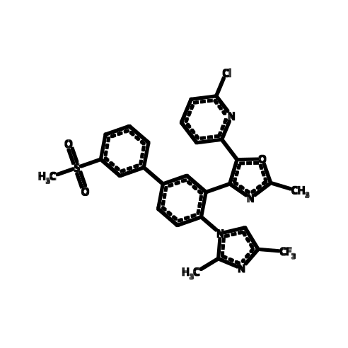 Cc1nc(-c2cc(-c3cccc(S(C)(=O)=O)c3)ccc2-n2cc(C(F)(F)F)nc2C)c(-c2cccc(Cl)n2)o1